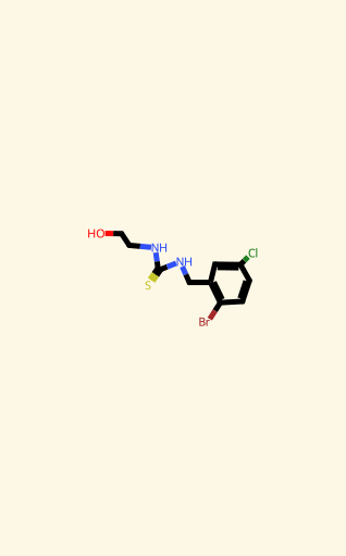 OCCNC(=S)NCc1cc(Cl)ccc1Br